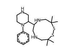 CC1(C)CNCC(C2CNCCN2c2ccccc2)NCC(C)(C)SS1